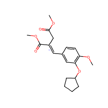 COC(=O)C/C(=C\c1ccc(OC)c(OC2CCCC2)c1)C(=O)OC